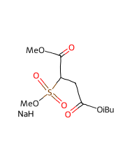 COC(=O)C(CC(=O)OCC(C)C)S(=O)(=O)OC.[NaH]